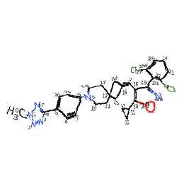 Cn1nnc(-c2ccc(N3CCC4(CC3)CC(=Cc3c(-c5c(Cl)cccc5Cl)noc3C3CC3)C4)cc2)n1